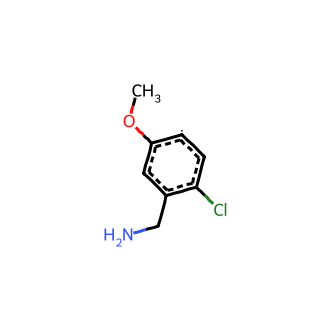 COc1[c]cc(Cl)c(CN)c1